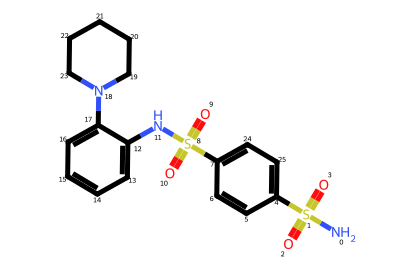 NS(=O)(=O)c1ccc(S(=O)(=O)Nc2ccccc2N2CCCCC2)cc1